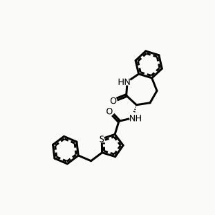 O=C(N[C@H]1CCc2ccccc2NC1=O)c1ccc(Cc2ccccc2)s1